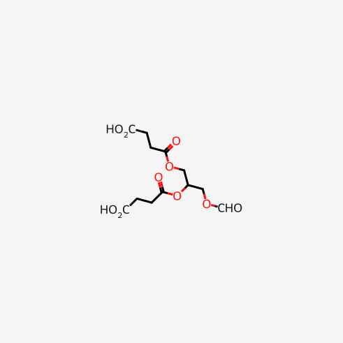 O=COCC(COC(=O)CCC(=O)O)OC(=O)CCC(=O)O